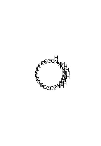 C1CCCCCCCNNNNNNNNNCCCCCCC1